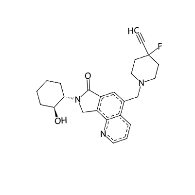 C#CC1(F)CCN(Cc2cc3c(c4ncccc24)CN([C@H]2CCCC[C@@H]2O)C3=O)CC1